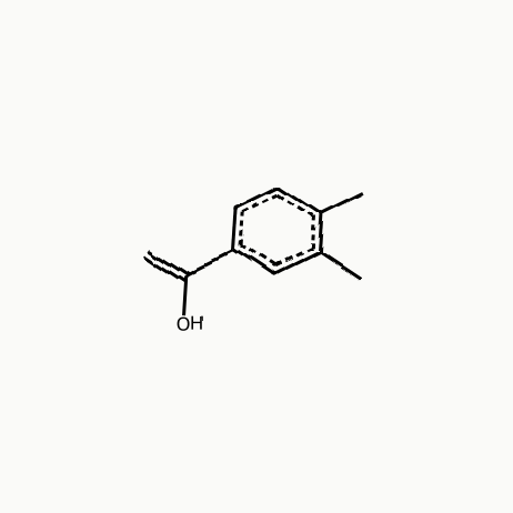 C=C(O)c1ccc(C)c(C)c1